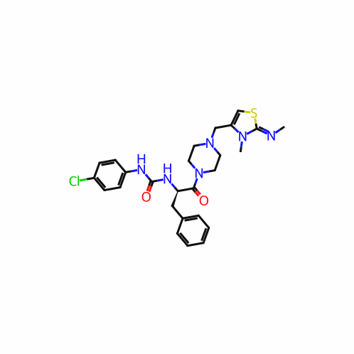 C/N=c1\scc(CN2CCN(C(=O)[C@@H](Cc3ccccc3)NC(=O)Nc3ccc(Cl)cc3)CC2)n1C